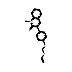 C=COCOc1ccc(-c2cc3ccccc3n(C)c2=S)cc1